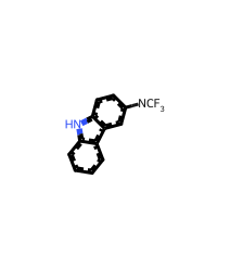 FC(F)(F)Nc1ccc2[nH]c3ccccc3c2c1